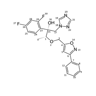 C[C@@H](OCc1cc(-c2ccccc2)no1)[C@](O)(Cn1cncn1)c1ccc(F)cc1F